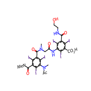 CNC(=O)c1c(I)c(C(=O)N(C)CC(=O)Nc2c(I)c(C(=O)O)c(I)c(C(=O)NCCO)c2I)c(I)c(N(C)C(C)=O)c1I